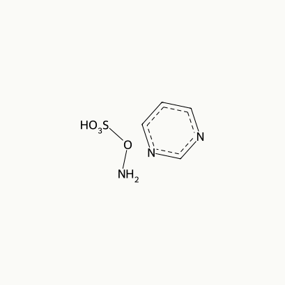 NOS(=O)(=O)O.c1cncnc1